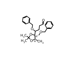 C[C@H]1OC(C)(C)O[C@@]1(COCc1ccccc1)C(CCC=O)OCc1ccccc1